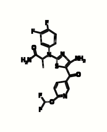 CC(C(N)=O)N(c1ccc(F)c(F)c1)c1nc(N)c(C(=O)c2ccc(OC(F)F)nc2)s1